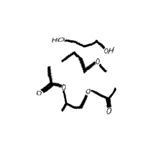 CC(=O)OCC(C)OC(C)=O.CCCOC.OCCO